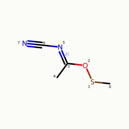 CSO/C(C)=N/C#N